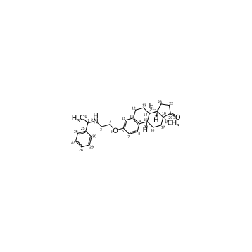 CC(NCCOc1ccc2c(c1)CC[C@@H]1[C@@H]2CC[C@]2(C)C(=O)CC[C@@H]12)c1ccccc1